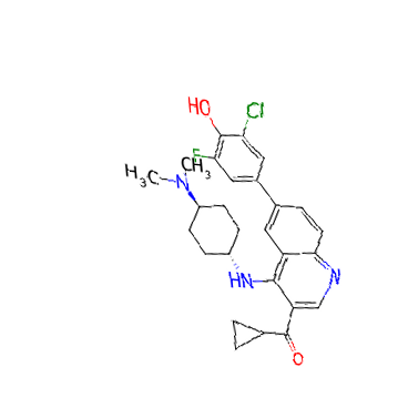 CN(C)[C@H]1CC[C@H](Nc2c(C(=O)C3CC3)cnc3ccc(-c4cc(F)c(O)c(Cl)c4)cc23)CC1